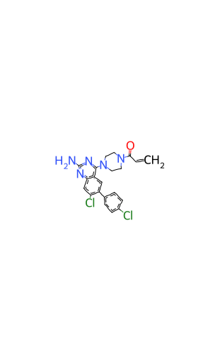 C=CC(=O)N1CCN(c2nc(N)nc3cc(Cl)c(-c4ccc(Cl)cc4)cc23)CC1